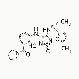 CC[C@@H](Nc1n[s+]([O-])nc1Nc1cccc(C(=O)N2CCCC2)c1O)c1ccc(C)o1